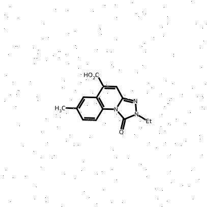 CCn1nc2cc(C(=O)O)c3cc(C)ccc3n2c1=O